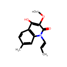 CC=Cn1c(=O)c(OCCCCCCCC)c(O)c2ccc(C)cc21